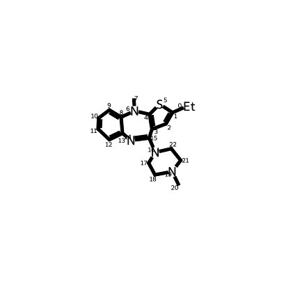 CCc1cc2c(s1)N(C)c1ccccc1N=C2N1CCN(C)CC1